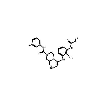 Cc1c(NC(=O)CC(C)C)cccc1N/C(=N/C#N)N1CCN(C(=O)Nc2cccc(F)c2)CC1C(C)C